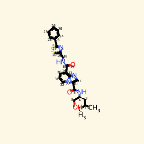 CC(C)C[C@@H](CO)NC(=O)c1cnc2c(C(=O)NCc3csc(-c4ccccc4)n3)cccn12